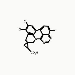 O=C(O)C1CC12CCCN(c1ncnc3c(F)ccc(-c4ccc(Cl)c(Cl)c4)c13)C2